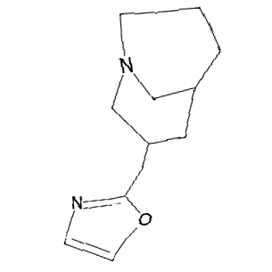 c1coc(C2CC3CCCN(C3)C2)n1